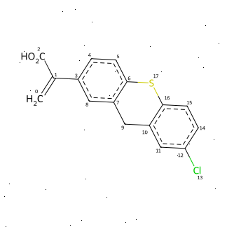 C=C(C(=O)O)c1ccc2c(c1)Cc1cc(Cl)ccc1S2